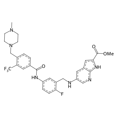 COC(=O)c1cc2cc(NCc3cc(NC(=O)c4ccc(CN5CCN(C)CC5)c(C(F)(F)F)c4)ccc3F)cnc2[nH]1